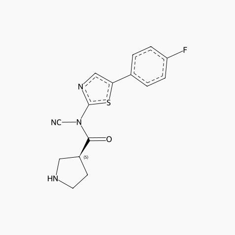 N#CN(C(=O)[C@H]1CCNC1)c1ncc(-c2ccc(F)cc2)s1